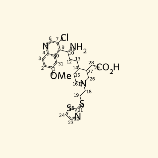 COc1ccc2ncc(Cl)c(C(N)CCC3CCN(CCSc4nccs4)CC3CC(=O)O)c2c1